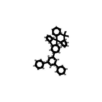 CC1(C)c2ccccc2C2(c3ccccc3-c3cc(-c4nc(-c5ccccc5)nc(-c5ccccc5)n4)ccc32)c2ccccc21